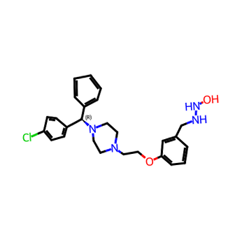 ONNCc1cccc(OCCN2CCN([C@H](c3ccccc3)c3ccc(Cl)cc3)CC2)c1